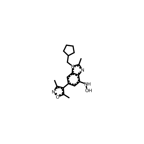 Cc1noc(C)c1-c1cc(NO)c2nc(C)n(CC3CCCC3)c2c1